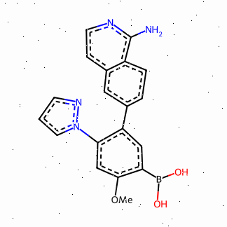 COc1cc(-n2cccn2)c(-c2ccc3c(N)nccc3c2)cc1B(O)O